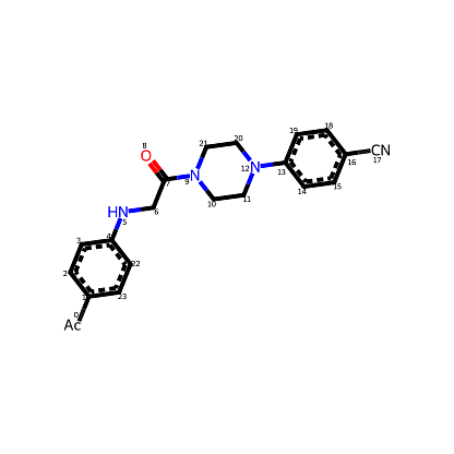 CC(=O)c1ccc(NCC(=O)N2CCN(c3ccc(C#N)cc3)CC2)cc1